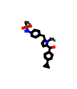 Cn1c(Cc2ccc(NS(C)(=O)=O)cc2)ccc1C(=O)c1ccc(C2CC2)cc1